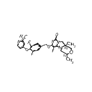 Cc1cc(Oc2c(F)cc(COc3nc(=O)n4c(c3F)N3C[C@H](C)OC[C@@]3(C)C4)cc2F)ccn1